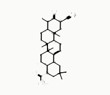 CC1C(=O)C(C#N)CC2(C)C1CCC1(C)C2CC=C2C3CC(C)(C)C[C@@H](C(=O)O)C3CCC21C